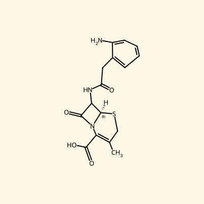 CC1=C(C(=O)O)N2C(=O)C(NC(=O)Cc3ccccc3N)[C@H]2SC1